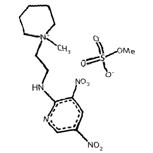 COS(=O)(=O)[O-].C[N+]1(CCNc2ncc([N+](=O)[O-])cc2[N+](=O)[O-])CCCCC1